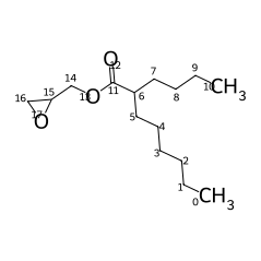 CCCCCCC(CCCC)C(=O)OCC1CO1